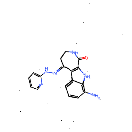 Nc1cccc2c3c([nH]c12)C(=O)NCC/C3=N\Nc1ccccn1